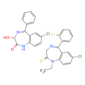 Fc1ccccc1C1=NCC(=S)N(CC(F)(F)F)c2ccc(Cl)cc21.O=C1Nc2ccc(Cl)cc2C(c2ccccc2)=NC1O